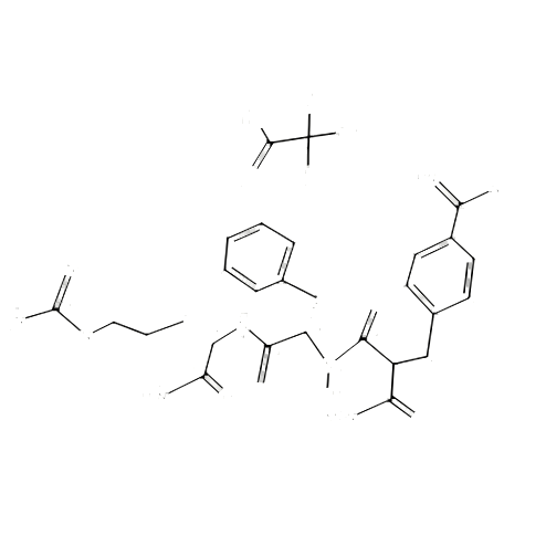 CNC(=O)C(Cc1ccc(C(=N)N)cc1)C(=O)N(C)[C@@H](Cc1ccccc1)C(=O)N[C@@H](CCCNC(=N)N)C(N)=O.O=C(O)C(F)(F)F